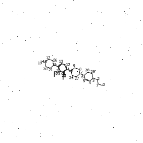 CCCC1C=CC(C2CCC(c3ccc(C4CCC(C)CC4)c(F)c3F)CC2)CC1